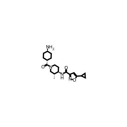 C[C@@H]1CN(C(=O)[C@H]2CC[C@H](N)CC2)CC[C@H]1NC(=O)c1cc(C2CC2)on1